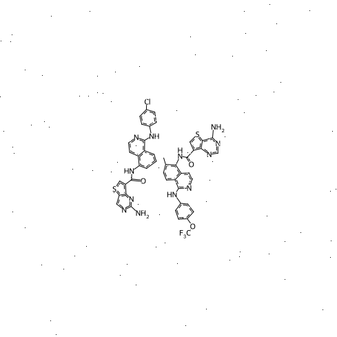 Cc1ccc2c(Nc3ccc(OC(F)(F)F)cc3)nccc2c1NC(=O)c1csc2c(N)ncnc12.Nc1ncc2scc(C(=O)Nc3cccc4c(Nc5ccc(Cl)cc5)nccc34)c2n1